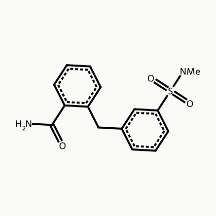 CNS(=O)(=O)c1cccc(Cc2ccccc2C(N)=O)c1